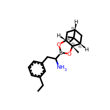 CCc1cccc(CC(N)B2O[C@@H]3C[C@@H]4C[C@@H](C4(C)C)[C@]3(C)O2)c1